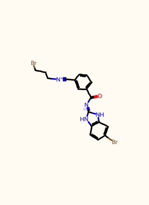 O=C(/N=c1/[nH]c2ccc(Br)cc2[nH]1)c1cccc(C#[N+]CCCBr)c1